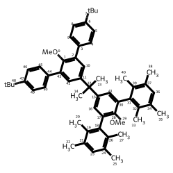 COc1c(-c2ccc(C(C)(C)C)cc2)cc(C(C)(C)c2cc(-c3c(C)c(C)cc(C)c3C)c(OC)c(-c3c(C)c(C)cc(C)c3C)c2)cc1-c1ccc(C(C)(C)C)cc1